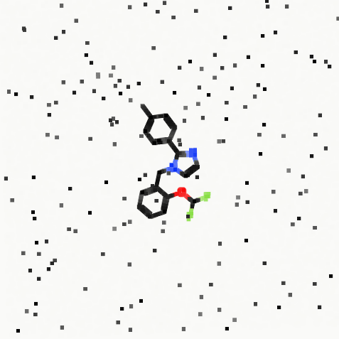 Cc1ccc(-c2nccn2Cc2ccccc2OC(F)F)cc1